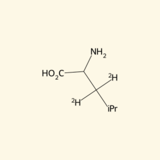 [2H]C([2H])(C(C)C)C(N)C(=O)O